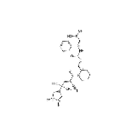 CC(C)(C=C(C#N)C(=O)N1CCCC[C@@H]1COC(=O)N[C@H](CB(O)O)c1ccccc1)N1C[C@@H](F)[C@@H](F)C1